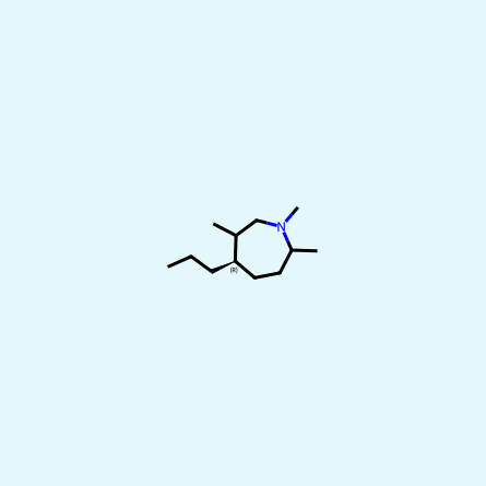 CCC[C@@H]1CCC(C)N(C)CC1C